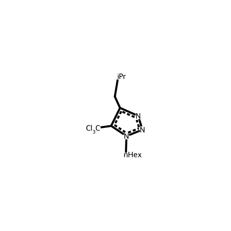 CCCCCCn1nnc(CC(C)C)c1C(Cl)(Cl)Cl